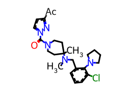 CC(=O)c1ccn(C(=O)N2CCC(C)(N(C)Cc3cccc(Cl)c3N3CCCC3)CC2)n1